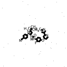 Cn1cc(-c2cc(Oc3ccc(NC(=O)Nc4cc(C(C)(C)C)nn4-c4ccc(C#N)cc4)c(F)c3)ccn2)cn1